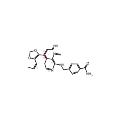 C=NC(/C=C/C1=C(/C=C\C)OCO1)=C(/N=C\CC/C=C\C=N)NCc1ccc(C(N)=O)cc1